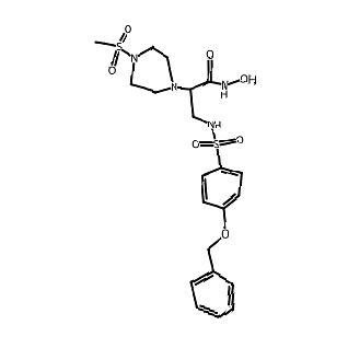 CS(=O)(=O)N1CCN(C(CNS(=O)(=O)c2ccc(OCc3ccccc3)cc2)C(=O)NO)CC1